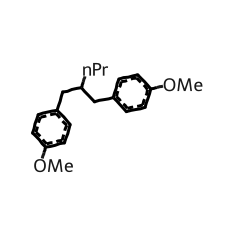 C[CH]CC(Cc1ccc(OC)cc1)Cc1ccc(OC)cc1